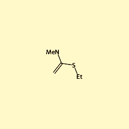 C=C(NC)SCC